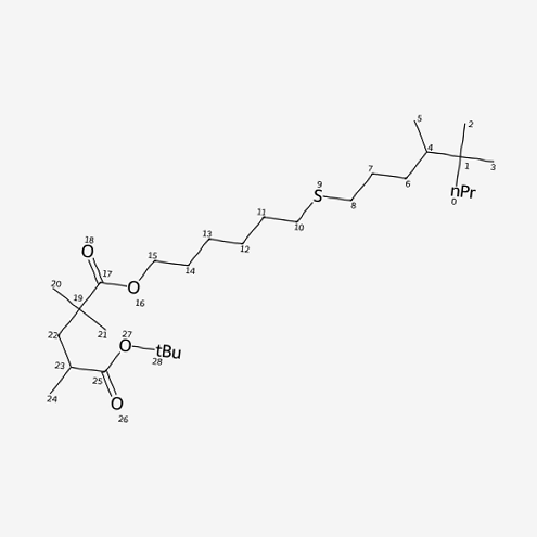 CCCC(C)(C)C(C)CCCSCCCCCCOC(=O)C(C)(C)CC(C)C(=O)OC(C)(C)C